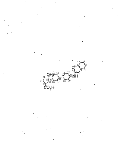 O=C(Cc1ccccc1F)Nc1ccc(-c2ccc(C3(O)CCC(C(=O)O)C3)cc2)cc1